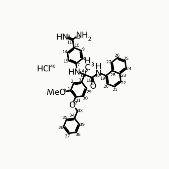 COc1cc([C@](C)(Nc2ccc(C(=N)N)cc2)C(=O)Nc2cccc3ccccc23)ccc1OCc1ccccc1.Cl